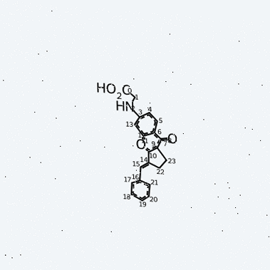 O=C(O)CNc1ccc2c(=O)c3c(oc2c1)C(=Cc1ccccc1)CC3